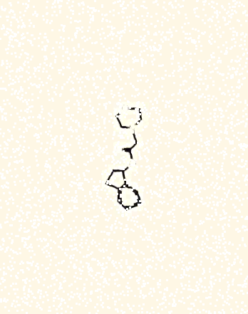 O=C(CN1CCOCC1)OC1CCc2ccccc21